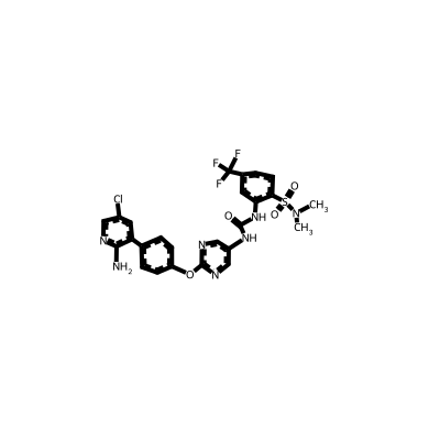 CN(C)S(=O)(=O)c1ccc(C(F)(F)F)cc1NC(=O)Nc1cnc(Oc2ccc(-c3cc(Cl)cnc3N)cc2)nc1